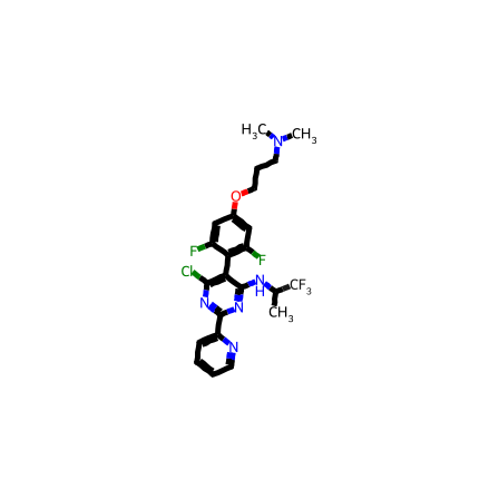 CC(Nc1nc(-c2ccccn2)nc(Cl)c1-c1c(F)cc(OCCCN(C)C)cc1F)C(F)(F)F